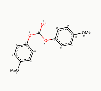 COc1ccc(OC(O)Oc2ccc(OC)cc2)cc1